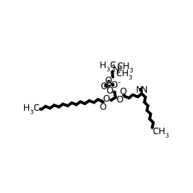 CCCCCCCCCCCCCCCC(=O)OCC(COP(=O)([O-])OCC[N+](C)(C)C)OC(=O)CCCC1(CCCCCCCCC)N=N1